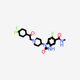 CNC(=O)c1cc2[nH]c(=O)n(C3CCN(CC(=O)C4CCC(F)(F)CC4)CC3)c2cc1F